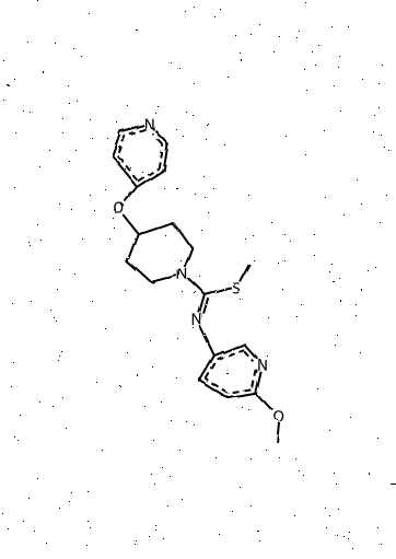 COc1ccc(N=C(SC)N2CCC(Oc3ccncc3)CC2)cn1